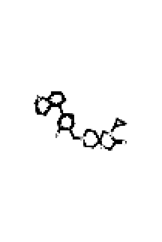 O=C1COC2(CCN(Cc3ccc(-c4cccc5ncccc45)cc3F)CC2)CN1C1CC1